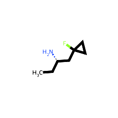 CC[C@H](N)CC1(F)CC1